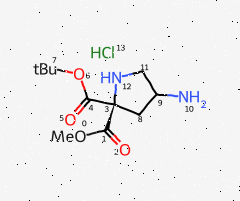 COC(=O)[C@]1(C(=O)OC(C)(C)C)CC(N)CN1.Cl